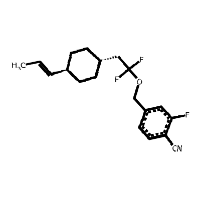 C/C=C/[C@H]1CC[C@H](CC(F)(F)OCc2ccc(C#N)c(F)c2)CC1